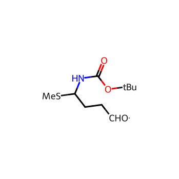 CSC(CC[C]=O)NC(=O)OC(C)(C)C